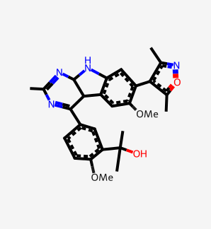 COc1cc2c(cc1-c1c(C)noc1C)NC1N=C(C)N=C(c3ccc(OC)c(C(C)(C)O)c3)C21